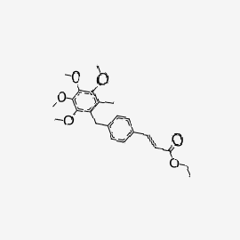 CCOC(=O)C=Cc1ccc(Cc2c(C)c(OC)c(OC)c(OC)c2OC)cc1